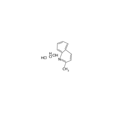 Cc1ccc2ccccc2n1.Cl.Cl.Cl